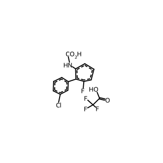 O=C(O)C(F)(F)F.O=C(O)Nc1cccc(F)c1-c1cccc(Cl)c1